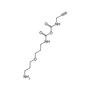 C#CCNC(=O)OC(=O)NCCCOCCCN